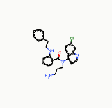 NCCCN(C(=O)c1ccccc1NCCc1ccccc1)c1ccnc2cc(Cl)ccc12